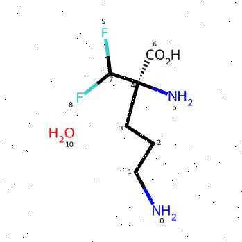 NCCC[C@@](N)(C(=O)O)C(F)F.O